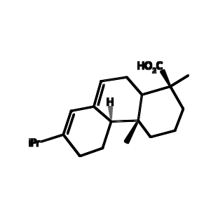 CC(C)C1=CC2=CCC3[C@](C)(CCC[C@]3(C)C(=O)O)[C@H]2CC1